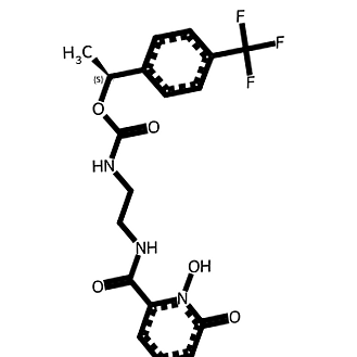 C[C@H](OC(=O)NCCNC(=O)c1cccc(=O)n1O)c1ccc(C(F)(F)F)cc1